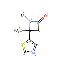 CCN1C(=O)CC1(C(=O)O)c1cncs1